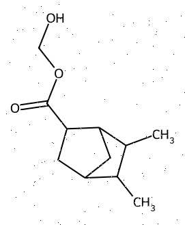 CC1C2CC(C(=O)OCO)C(C2)C1C